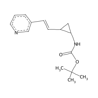 CC(C)(C)OC(=O)NC1CC1/C=C/c1cccnc1